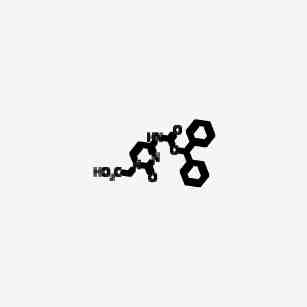 O=C(O)Cn1ccc(NC(=O)OC(c2ccccc2)c2ccccc2)nc1=O